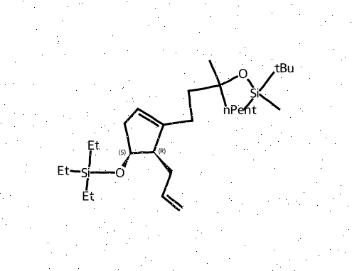 C=CC[C@@H]1C(CCC(C)(CCCCC)O[Si](C)(C)C(C)(C)C)=CC[C@@H]1O[Si](CC)(CC)CC